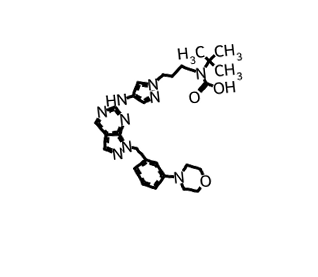 CC(C)(C)N(CCCn1cc(Nc2ncc3cnn(Cc4cccc(N5CCOCC5)c4)c3n2)cn1)C(=O)O